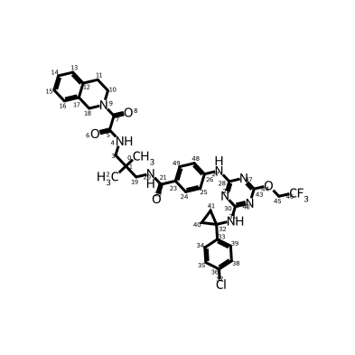 CC(C)(CNC(=O)C(=O)N1CCc2ccccc2C1)CNC(=O)c1ccc(Nc2nc(NC3(c4ccc(Cl)cc4)CC3)nc(OCC(F)(F)F)n2)cc1